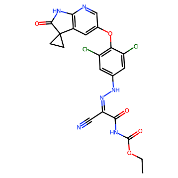 CCOC(=O)NC(=O)C(C#N)=NNc1cc(Cl)c(Oc2cnc3c(c2)C2(CC2)C(=O)N3)c(Cl)c1